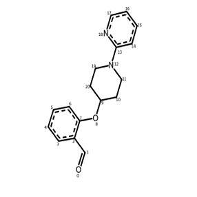 O=Cc1ccccc1OC1CCN(c2ccccn2)CC1